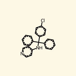 Clc1ccc(C(Nc2ccncc2)(c2ccccc2)c2ccccc2)cc1